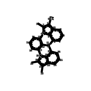 CCc1c(C)n2c3c(cccc13)B1c3c(cccc3-2)-n2c(C)c(C)c3cccc1c32